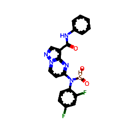 O=C(Nc1ccccc1)c1cnn2ccc(N(c3ccc(F)cc3F)[SH](=O)=O)nc12